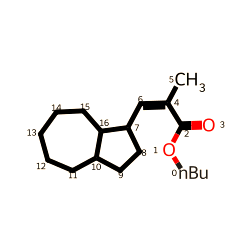 CCCCOC(=O)C(C)=CC1CCC2CCCCCC12